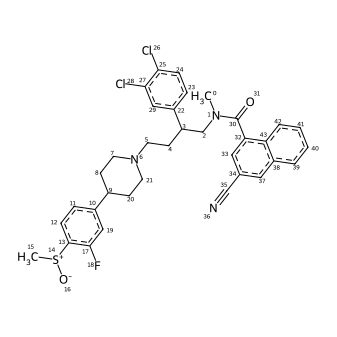 CN(CC(CCN1CCC(c2ccc([S+](C)[O-])c(F)c2)CC1)c1ccc(Cl)c(Cl)c1)C(=O)c1cc(C#N)cc2ccccc12